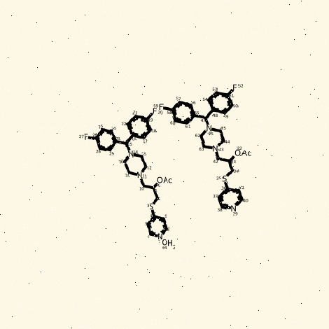 CC(=O)OC(CSc1ccncc1)CN1CCN(C(c2ccc(F)cc2)c2ccc(F)cc2)CC1.CC(=O)OC(CSc1ccncc1)CN1CCN(C(c2ccc(F)cc2)c2ccc(F)cc2)CC1.O